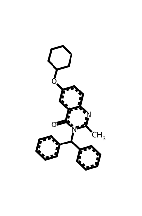 Cc1nc2ccc(OC3CCCCC3)cc2c(=O)n1C(c1ccccc1)c1ccccc1